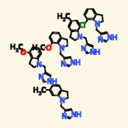 COc1cccc2c1CCN2Cc1c[nH]cn1.COc1cccc2c1N(Cc1c[nH]cn1)CC2.Cc1ccc2c(c1)CCN2Cc1c[nH]cn1.Cc1ccc2c(c1)N(Cc1c[nH]cn1)CC2.Clc1cccc2c1N(Cc1c[nH]cn1)CC2